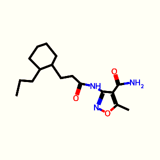 CCCC1CCCCC1CCC(=O)Nc1noc(C)c1C(N)=O